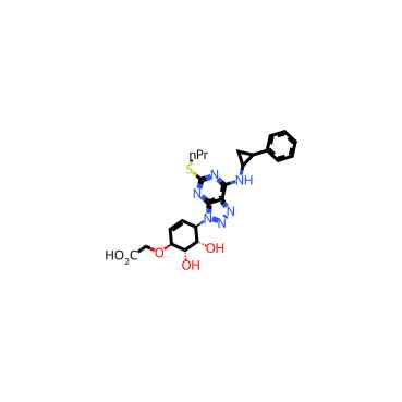 CCCSc1nc(NC2CC2c2ccccc2)c2nnn([C@@H]3C=C[C@H](OCC(=O)O)[C@@H](O)[C@H]3O)c2n1